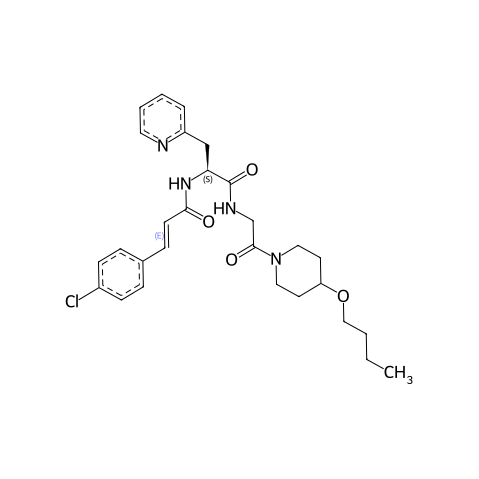 CCCCOC1CCN(C(=O)CNC(=O)[C@H](Cc2ccccn2)NC(=O)/C=C/c2ccc(Cl)cc2)CC1